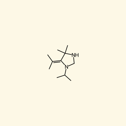 CC(C)=C1N(C(C)C)CNC1(C)C